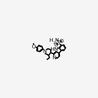 CCC1CN(c2ccc(OC)cc2)CCC1c1nccc2c1[nH]c1c(S(N)(=O)=O)cccc12